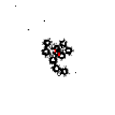 c1ccc([Si](c2ccccc2)(c2ccccc2)c2ccc(-n3c4ccccc4c4cccc(-n5c6ccccc6c6cc(-c7ccc8oc9ccccc9c8c7)ccc65)c43)cc2)cc1